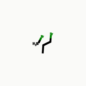 CCCBr.[SiH3]Br